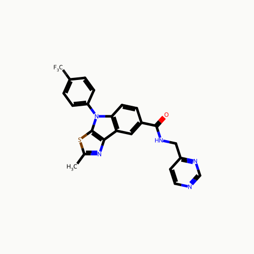 Cc1nc2c3cc(C(=O)NCc4ccncn4)ccc3n(-c3ccc(C(F)(F)F)cc3)c2s1